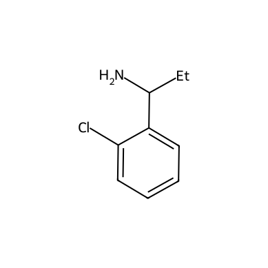 CCC(N)c1ccccc1Cl